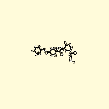 Cc1ccc(C(N)=O)cc1NC(=O)c1ccc(OCc2ccccn2)cc1